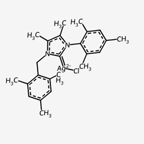 Cc1cc(C)c(Cn2c(C)c(C)n(-c3c(C)cc(C)cc3C)[c]2=[Ag-2][Cl])c(C)c1